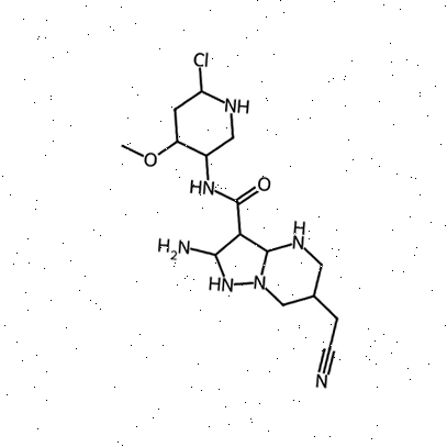 COC1CC(Cl)NCC1NC(=O)C1C(N)NN2CC(CC#N)CNC12